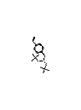 C=Cc1ccc(CP(OC(C)(C)C)OC(C)(C)C)cc1